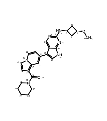 CO[C@H]1C[C@@H](Nc2ncc3c(-c4ccn5ncc(C(=O)N6CCCCC6)c5c4)c[nH]c3n2)C1